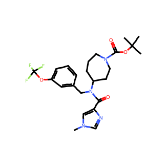 Cn1cnc(C(=O)N(Cc2cccc(OC(F)(F)F)c2)C2CCCN(C(=O)OC(C)(C)C)CC2)c1